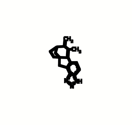 C=C1C(C)=C2c3ccc4[nH]nnc4c3CC23CCC1C3